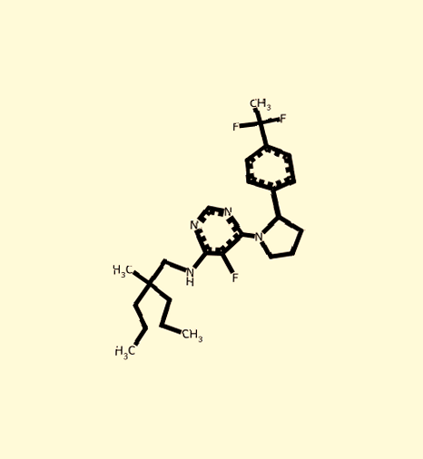 CCCC(C)(CCC)CNc1ncnc(N2CCCC2c2ccc(C(C)(F)F)cc2)c1F